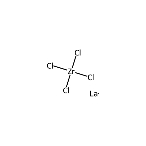 [Cl][Zr]([Cl])([Cl])[Cl].[La]